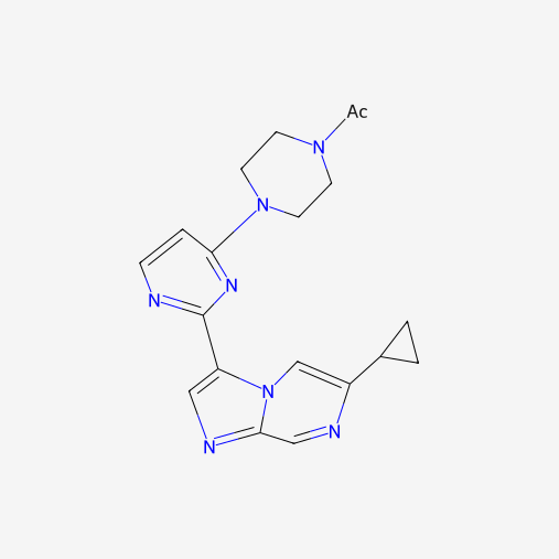 CC(=O)N1CCN(c2ccnc(-c3cnc4cnc(C5CC5)cn34)n2)CC1